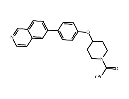 CCCC(=O)N1CCC(Oc2ccc(-c3ccc4cnccc4c3)cc2)CC1